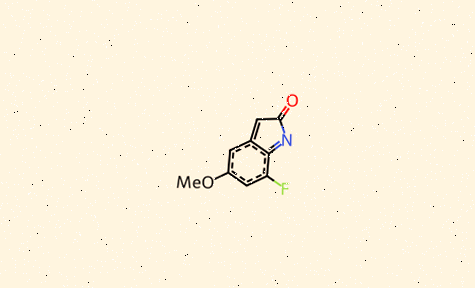 COc1cc(F)c2c(c1)=CC(=O)N=2